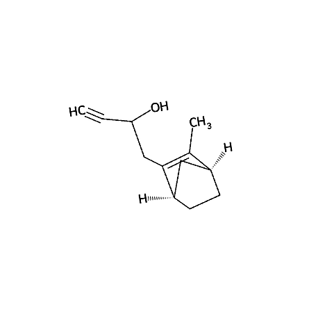 C#CC(O)CC1=C(C)[C@H]2CC[C@@H]1C2